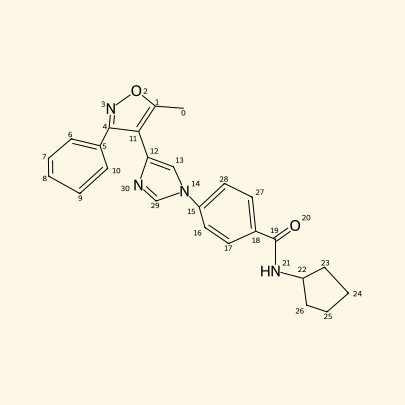 Cc1onc(-c2ccccc2)c1-c1cn(-c2ccc(C(=O)NC3CCCC3)cc2)cn1